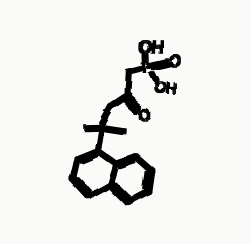 CC(C)(CC(=O)CP(=O)(O)O)c1cccc2ccccc12